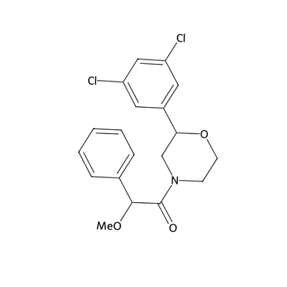 COC(C(=O)N1CCOC(c2cc(Cl)cc(Cl)c2)C1)c1ccccc1